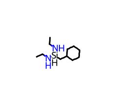 CCN[SiH](CC1CCCCC1)NCC